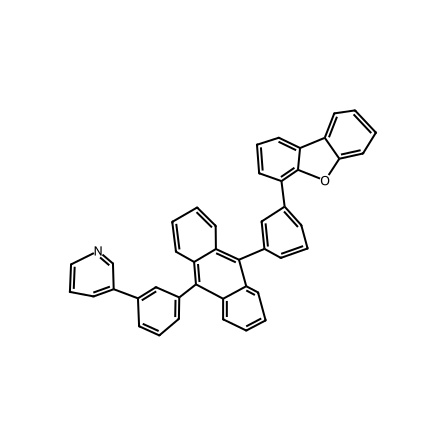 c1cncc(-c2cccc(-c3c4ccccc4c(-c4cccc(-c5cccc6c5oc5ccccc56)c4)c4ccccc34)c2)c1